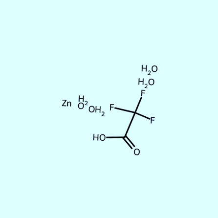 O.O.O.O.O=C(O)C(F)(F)F.[Zn]